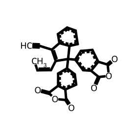 C#CC1=C(/C=C\C)C(c2ccc3c(c2)C(=O)OC3=O)(c2ccc3c(c2)C(=O)OC3=O)c2ccccc21